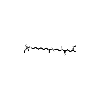 COP(C)(=O)OCCCCCCNOOCCNC(=O)CCC(C)SC